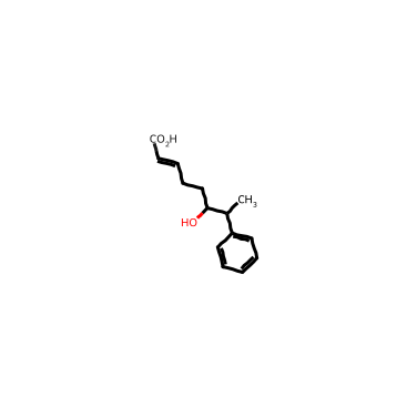 CC(c1ccccc1)C(O)CCC=CC(=O)O